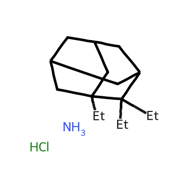 CCC12CC3CC(CC(C3)C1(CC)CC)C2.Cl.N